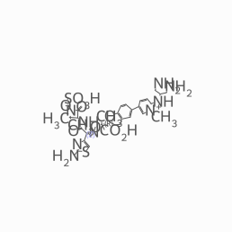 C[n+]1cc(-c2ccc3c(c2)CC[C@H](C(C)(O/N=C(\C(=O)NC2C(=O)N(OS(=O)(=O)O)C2(C)C)c2csc(N)n2)C(=O)O)O3)ccc1NC(CN)CN